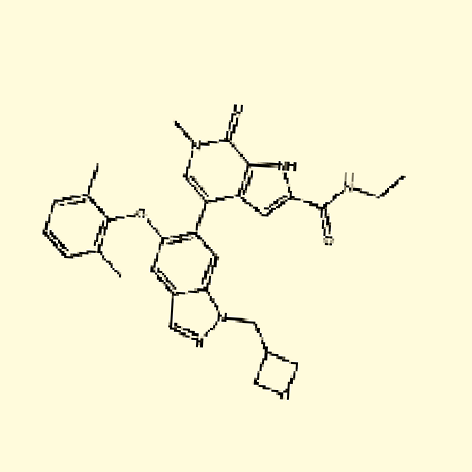 CCNC(=O)c1cc2c(-c3cc4c(cnn4CC4COC4)cc3Oc3c(C)cccc3C)cn(C)c(=O)c2[nH]1